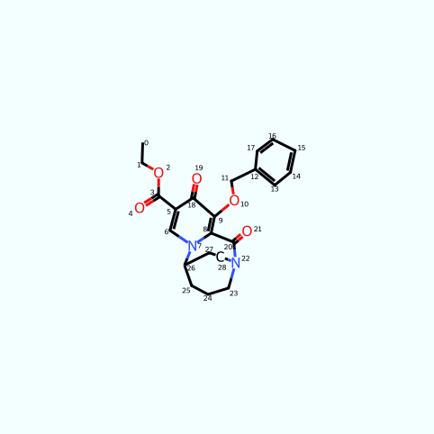 CCOC(=O)c1cn2c(c(OCc3ccccc3)c1=O)C(=O)N1CCCC2CC1